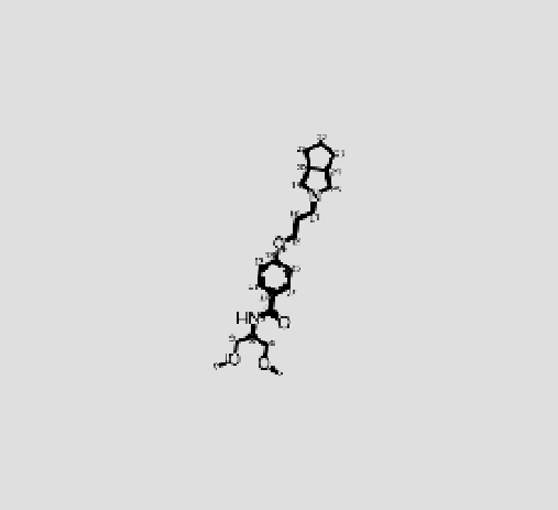 COCC(COC)NC(=O)c1ccc(OCCCN2CC3CCCC3C2)cc1